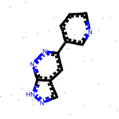 c1cncc(-c2cc3cn[nH]c3nn2)c1